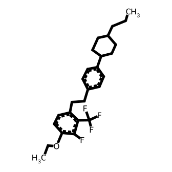 CCCC1CCC(c2ccc(CCc3ccc(OCC)c(F)c3C(F)(F)F)cc2)CC1